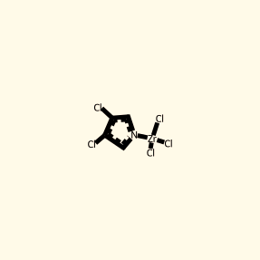 Clc1c[n]([Zr]([Cl])([Cl])[Cl])cc1Cl